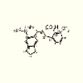 CCCN(CCC)c1cc2c(cc1CN(Cc1cccc(C(F)(F)F)c1)C(=O)O)CCC2